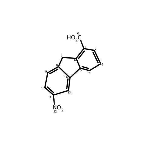 O=C(O)c1cccc2c1Cc1ccc([N+](=O)[O-])cc1-2